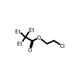 CCC(CC)(CC)C(=O)OCCCl